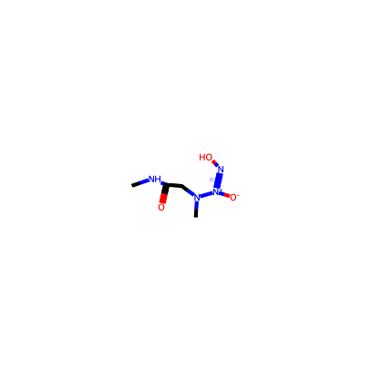 CNC(=O)CN(C)/[N+]([O-])=N\O